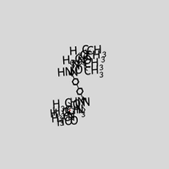 CCC(C)[C@@H](C(=O)N1CCC[C@H]1c1nc(-c2ccc(-c3ccc(-c4cnc([C@@H]5CCCN5C(=O)[C@H](CN(C(=O)O)C(C)(C)C)C(C)CC)[nH]4)cc3)cc2)c[nH]1)N(C)C(=O)OC(C)(C)C